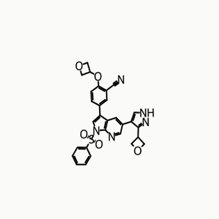 N#Cc1cc(-c2cn(S(=O)(=O)c3ccccc3)c3ncc(-c4c[nH]nc4C4COC4)cc23)ccc1OC1COC1